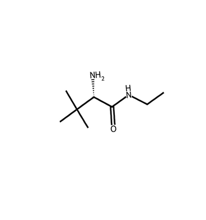 CCNC(=O)[C@@H](N)C(C)(C)C